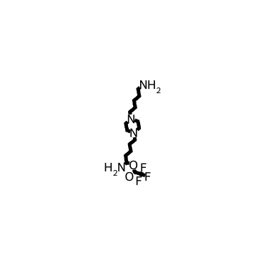 NCCCCCN1CCN(CCCCC(N)OC(=O)C(F)(F)F)CC1